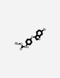 CC(C)(C)OC(=O)Nc1ccc(Oc2csc3cc(Br)ccc23)cc1